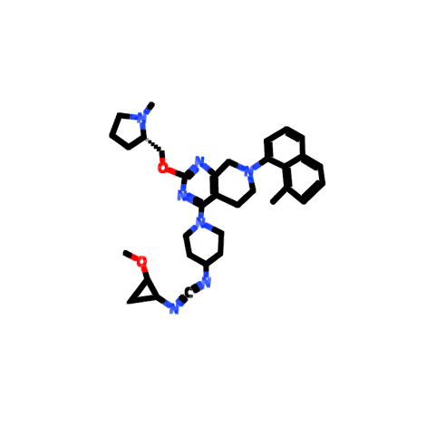 COC1CC1N=C=NC1CCN(c2nc(OC[C@@H]3CCCN3C)nc3c2CCN(c2cccc4cccc(C)c24)C3)CC1